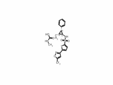 CNC(=O)O.C[C@H]1[C@H](NS(=O)(=O)c2ccc(-c3cc(C(F)(F)F)on3)s2)[C@H]1c1ccccc1